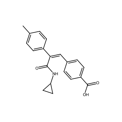 Cc1ccc(/C(=C/c2ccc(C(=O)O)cc2)C(=O)NC2CC2)cc1